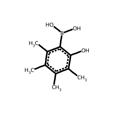 Cc1c(C)c(C)c(B(O)O)c(O)c1C